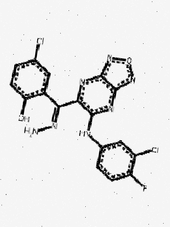 N/N=C(\c1cc(Cl)ccc1O)c1nc2nonc2nc1Nc1ccc(F)c(Cl)c1